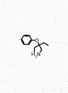 CCC(CC)(CN)Oc1cc[c]cc1